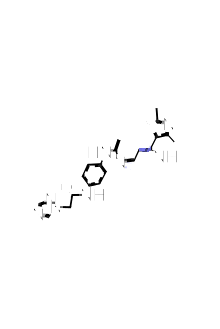 C=C(/N=C\C=C(/N)c1sc(C)nc1C)Nc1ccc(NC(=O)Cn2cncn2)cc1